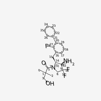 CC(C)(CO)C(=O)N1CC(F)(F)[C@H](N)[C@@H]1Cc1cccc(-c2ccccc2)c1F